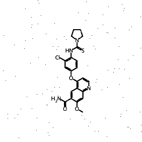 COc1cc2nccc(Oc3ccc(NC(=S)N4CCCC4)c(Cl)c3)c2cc1C(N)=O